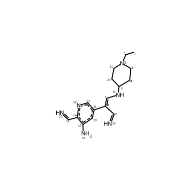 CCN1CCC(N/C=C(\C=N)c2cnc(C=N)c(N)c2)CC1